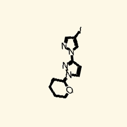 Ic1cnn(-c2ccn(C3CCCCO3)n2)c1